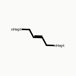 [CH2]CCCCCCCC=CCCCCCCCC